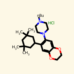 CCCCN1CCN(c2cc3c(cc2C2CC(C)(C)CC(C)(C)C2)OCCO3)CC1.Cl